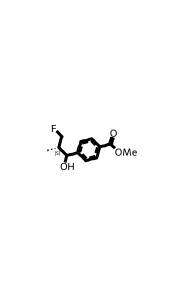 COC(=O)c1ccc(C(O)[C@H](C)CF)cc1